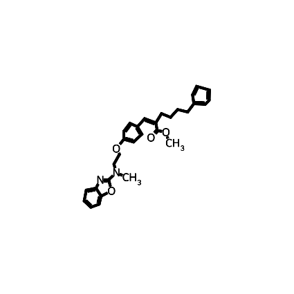 COC(=O)C(=Cc1ccc(OCCN(C)c2nc3ccccc3o2)cc1)CCCCc1ccccc1